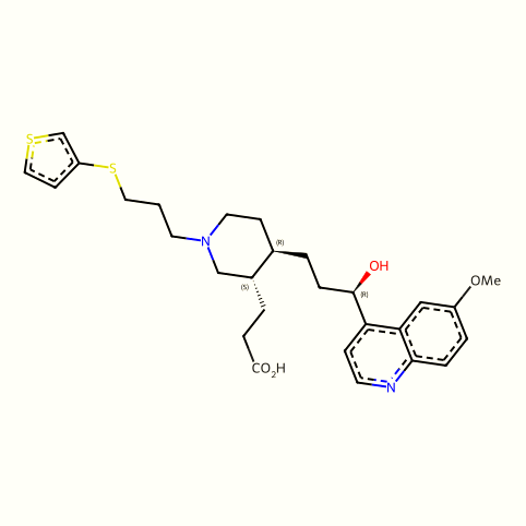 COc1ccc2nccc([C@H](O)CC[C@@H]3CCN(CCCSc4ccsc4)C[C@H]3CCC(=O)O)c2c1